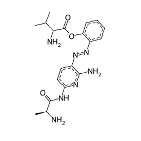 CC(C)C(N)C(=O)Oc1ccccc1/N=N/c1ccc(NC(=O)[C@H](C)N)nc1N